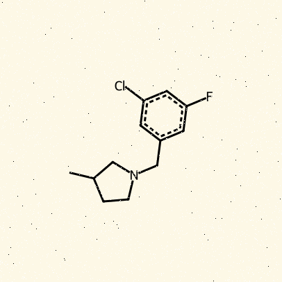 CC1CCN(Cc2cc(F)cc(Cl)c2)C1